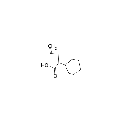 C=CCC(C(=O)O)C1CCCCC1